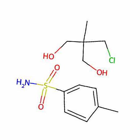 CC(CO)(CO)CCl.Cc1ccc(S(N)(=O)=O)cc1